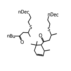 CCCCCCCCCCCCSC(C)CC(=O)C1C(C)C=CCC1(C)C.CCCCCCCCCCCCSC(C)CC(=O)CCCC